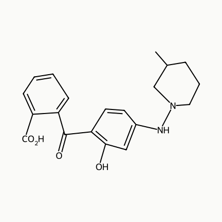 CC1CCCN(Nc2ccc(C(=O)c3ccccc3C(=O)O)c(O)c2)C1